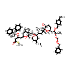 C=C1C[C@@H](CC2(OC)OC(CC(CC(=O)SC(C)(C)C)O[Si](c3ccccc3)(c3ccccc3)C(C)(C)C)CC(OC(C)=O)C2(C)C)O[C@@H](C=CC(C)(C)[C@]2(OC)O[C@H](C[C@@H](OCc3ccc(OC)cc3)[C@@H](C)OCOCc3ccccc3)CCC2=O)C1